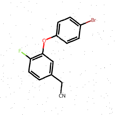 N#C[CH]c1ccc(F)c(Oc2ccc(Br)cc2)c1